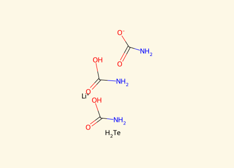 NC(=O)O.NC(=O)O.NC(=O)[O-].[Li+].[TeH2]